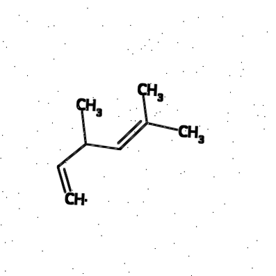 [CH]=CC(C)C=C(C)C